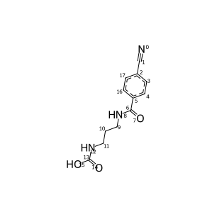 N#Cc1ccc(C(=O)NCCCNC(=O)O)cc1